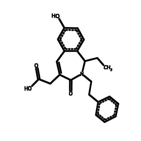 CCC1c2ccc(O)cc2C=C(CC(=O)O)C(=O)N1CCc1ccccc1